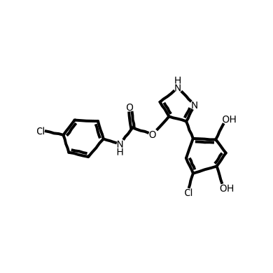 O=C(Nc1ccc(Cl)cc1)Oc1c[nH]nc1-c1cc(Cl)c(O)cc1O